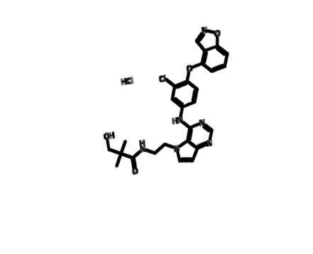 CC(C)(CO)C(=O)NCCn1ccc2ncnc(Nc3ccc(Oc4cccc5oncc45)c(Cl)c3)c21.Cl